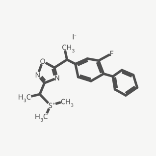 CC(c1ccc(-c2ccccc2)c(F)c1)c1nc(C(C)[S+](C)C)no1.[I-]